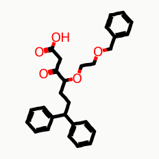 O=C(O)CC(=O)C(CCC(c1ccccc1)c1ccccc1)OCCOCc1ccccc1